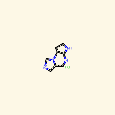 Cl.c1cc2c(ncc3cncn32)[nH]1